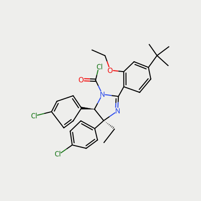 CCOc1cc(C(C)(C)C)ccc1C1=N[C@@](CC)(c2ccc(Cl)cc2)[C@@H](c2ccc(Cl)cc2)N1C(=O)Cl